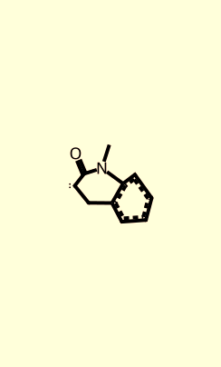 CN1C(=O)[C]Cc2ccccc21